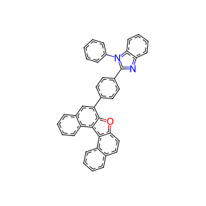 c1ccc(-n2c(-c3ccc(-c4cc5ccccc5c5c4oc4ccc6ccccc6c45)cc3)nc3ccccc32)cc1